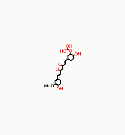 COc1cc(C=CC(=O)CC(=O)C=CC2CC=C(O)C(OC(O)O)C2)ccc1O